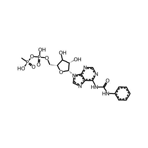 CP(=O)(O)OP(=O)(O)OC[C@H]1O[C@@H](n2cnc3c(NC(=O)Nc4ccccc4)ncnc32)[C@@H](O)C1O